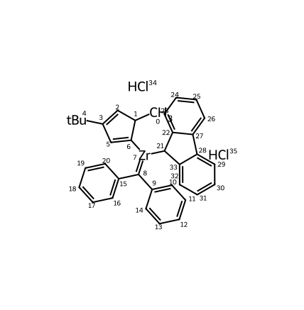 CC1C=C(C(C)(C)C)C=[C]1[Zr](=[C](c1ccccc1)c1ccccc1)[CH]1c2ccccc2-c2ccccc21.Cl.Cl